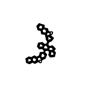 c1ccc2cc3c(cc2c1)oc1ccc(-c2c4ccccc4c(-c4ccc5oc6cc7ccccc7cc6c5c4)c4c2ccc2ccccc24)cc13